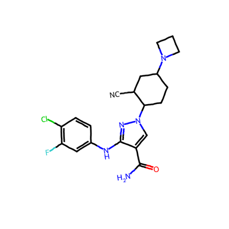 N#CC1CC(N2CCC2)CCC1n1cc(C(N)=O)c(Nc2ccc(Cl)c(F)c2)n1